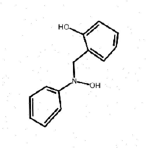 Oc1ccccc1CN(O)c1ccccc1